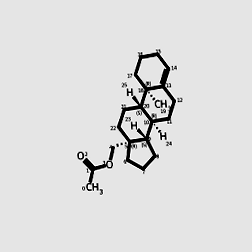 CC(=O)OC[C@@]12CCC[C@H]1[C@@H]1CCC3=CCCC[C@]3(C)[C@H]1CC2